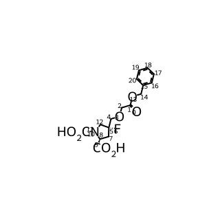 O=C(COC[C@@]1(F)C[C@@H](C(=O)O)N(C(=O)O)C1)OCc1ccccc1